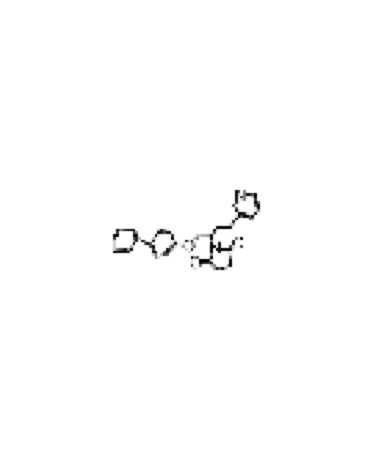 O=C1CCC(=O)N1C(CCc1cccnc1)COc1ccc(-c2ccccc2)cc1